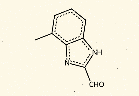 Cc1cccc2[nH]c(C=O)nc12